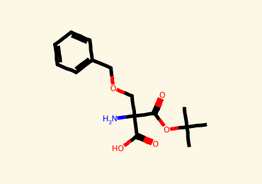 CC(C)(C)OC(=O)C(N)(COCc1ccccc1)C(=O)O